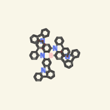 c1ccc(-c2ccccc2N2c3cc4c(cc3B3c5cc6c7cccc8c9ccccc9n(c6cc5N(c5ccccc5-c5ccccc5)c5cc(-n6c9ccccc9c9ccccc96)cc2c53)c87)c2cccc3c5ccccc5n4c32)cc1